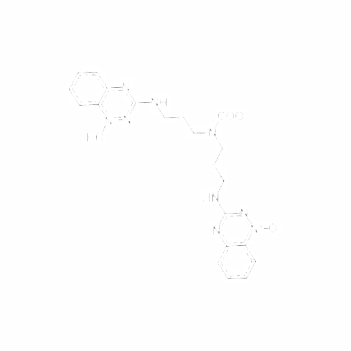 O=C([O-])N(CCCNc1nc2ccccc2[n+]([O-])n1)CCCNc1nc2ccccc2[n+](O)n1